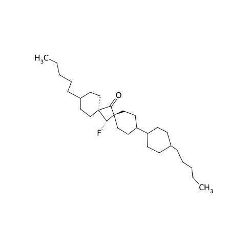 CCCCCC1CCC(C2CC[C@]3(CC2)C(=O)[C@@]2(CCC(CCCCC)CC2)[C@H]3F)CC1